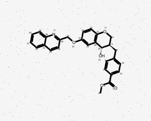 COC(=O)c1ccc(C[C@@H]2COc3ccc(OCc4ccc5ccccc5n4)cc3[C@H]2O)cc1